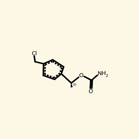 C[C@H](OC(N)=O)c1ccc(CCl)cc1